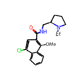 CCN1CCCC1CNC(=O)c1cc(Cl)c2ccccc2c1OC